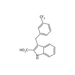 O=C(O)c1[nH]c2ccccc2c1Cc1cccc(C(F)(F)F)c1